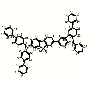 CC1(C)c2cc(-c3ccc4c(c3)c3cc(-c5ccccc5)ccc3n4-c3ccccc3)ccc2-c2ccc(N(c3ccc(-c4ccccc4)cc3)c3ccc(-c4ccccc4)cc3)cc21